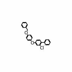 Clc1cc(Oc2ccc(OCc3ccccc3)cc2)ccc1-c1[c]cccc1